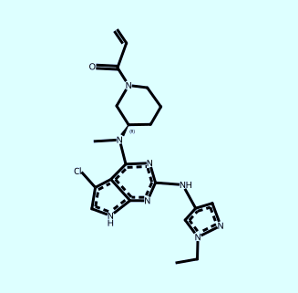 C=CC(=O)N1CCC[C@@H](N(C)c2nc(Nc3cnn(CC)c3)nc3[nH]cc(Cl)c23)C1